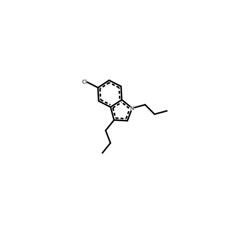 CCCc1cn(CCC)c2ccc(Cl)cc12